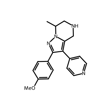 COc1ccc(-c2nn3c(c2-c2ccncc2)CNCC3C)cc1